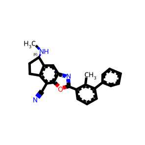 CN[C@@H]1CCc2c1cc1nc(-c3cccc(-c4ccccc4)c3C)oc1c2C#N